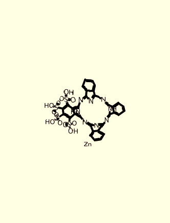 O=S(=O)(O)c1c(S(=O)(=O)O)c(S(=O)(=O)O)c2c3nc4nc(nc5[nH]c(nc6nc(nc([nH]3)c2c1S(=O)(=O)O)-c1ccccc1-6)c1ccccc51)-c1ccccc1-4.[Zn]